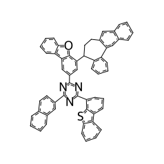 c1ccc2c(c1)-c1cc3ccccc3cc1CCC2c1cc(-c2nc(-c3ccc4ccccc4c3)nc(-c3cccc4c3sc3ccccc34)n2)cc2c1oc1ccccc12